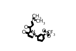 CN(C)/C=C/C(=O)c1nn(-c2cccc(S(=O)(=O)C(F)(F)F)c2)ccc1=O